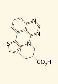 O=C(O)C1CCCN(c2ncnc3cccc(-c4cccs4)c23)C1